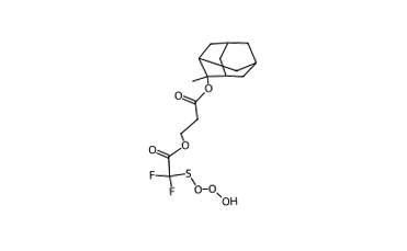 CC1(OC(=O)CCOC(=O)C(F)(F)SOOO)C2CC3CC(C2)CC1C3